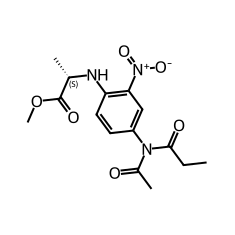 CCC(=O)N(C(C)=O)c1ccc(N[C@@H](C)C(=O)OC)c([N+](=O)[O-])c1